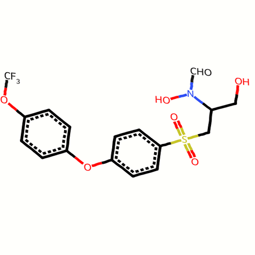 O=CN(O)C(CO)CS(=O)(=O)c1ccc(Oc2ccc(OC(F)(F)F)cc2)cc1